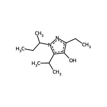 CCc1nn(C(C)CC)c(C(C)C)c1O